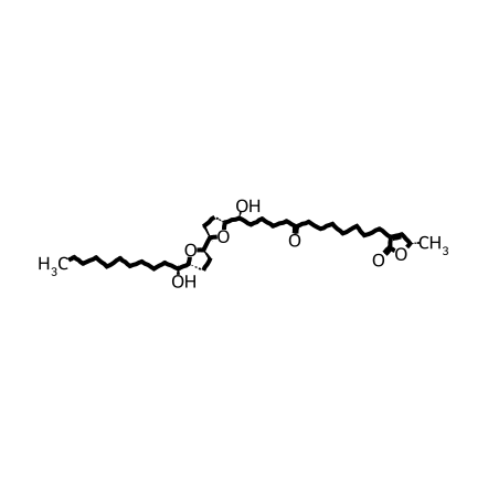 CCCCCCCCCC[C@H](O)[C@H]1CC[C@H]([C@H]2CC[C@H]([C@H](O)CCCCC(=O)CCCCCCCC3=C[C@H](C)OC3=O)O2)O1